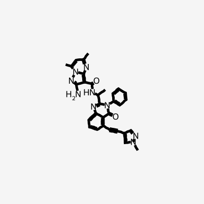 Cc1cc(C)n2nc(N)c(C(=O)NC(C)c3nc4cccc(C#Cc5cnn(C)c5)c4c(=O)n3-c3ccccc3)c2n1